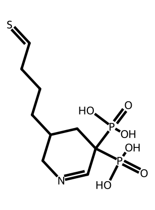 O=P(O)(O)C1(P(=O)(O)O)C=NCC(CCCC=S)C1